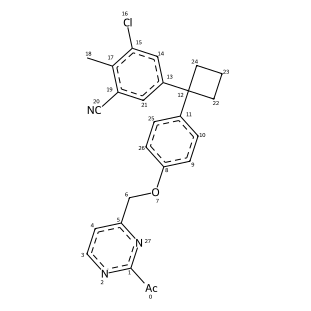 CC(=O)c1nccc(COc2ccc(C3(c4cc(Cl)c(C)c(C#N)c4)CCC3)cc2)n1